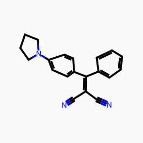 N#CC(C#N)=C(c1ccccc1)c1ccc(N2CCCC2)cc1